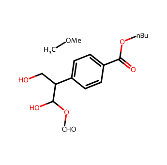 CCCCOC(=O)c1ccc(C(CO)C(O)OC=O)cc1.COC